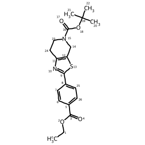 CCOC(=O)c1ccc(-c2nc3c(s2)CN(C(=O)OC(C)(C)C)CC3)cc1